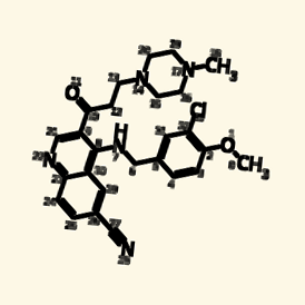 COc1ccc(CNc2c(C(=O)CCN3CCN(C)CC3)cnc3ccc(C#N)cc23)cc1Cl